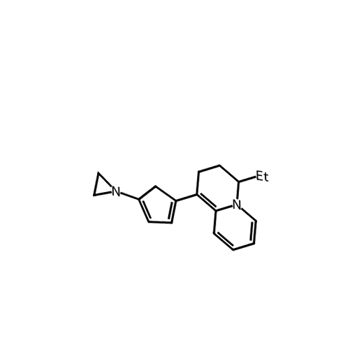 CCC1CCC(C2=CC=C(N3CC3)C2)=C2C=CC=CN21